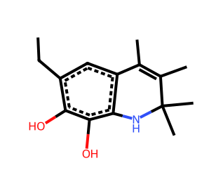 CCc1cc2c(c(O)c1O)NC(C)(C)C(C)=C2C